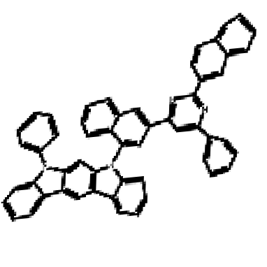 c1ccc(-c2cc(-c3cc(-n4c5ccccc5c5cc6c7ccccc7n(-c7ccccc7)c6cc54)c4ccccc4c3)nc(-c3ccc4ccccc4c3)n2)cc1